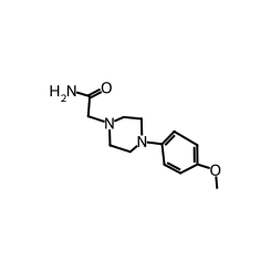 COc1ccc(N2CCN(CC(N)=O)CC2)cc1